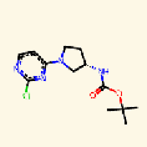 CC(C)(C)OC(=O)N[C@H]1CCN(c2ccnc(Cl)n2)C1